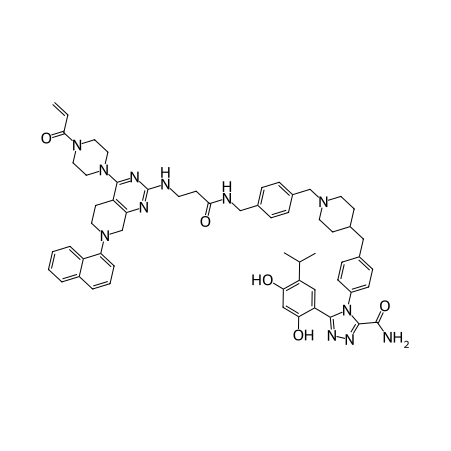 C=CC(=O)N1CCN(c2nc(NCCC(=O)NCc3ccc(CN4CCC(Cc5ccc(-n6c(C(N)=O)nnc6-c6cc(C(C)C)c(O)cc6O)cc5)CC4)cc3)nc3c2CCN(c2cccc4ccccc24)C3)CC1